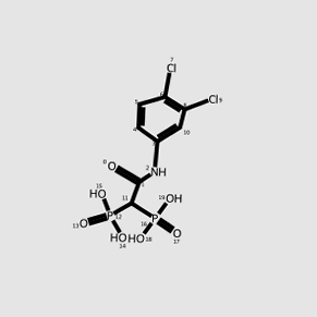 O=C(Nc1ccc(Cl)c(Cl)c1)C(P(=O)(O)O)P(=O)(O)O